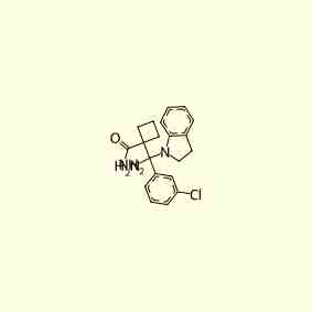 NC(=O)C1(C(N)(c2cccc(Cl)c2)N2CCc3ccccc32)CCC1